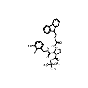 CC(C)(C)OC(=O)N1CC[C@@H](NC(=O)OCC2c3ccccc3-c3ccccc32)[C@H]1C(=O)NCc1cccc(Cl)c1F